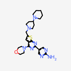 Nc1ncc(-c2nc(N3CCOCC3)c3cc(CN4CCC(N5CCCCC5)CC4)sc3n2)cn1